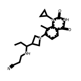 CCC(NCCC#N)C1CN(c2ccc3c(=O)[nH]c(=O)n(C4CC4)c3c2C)C1